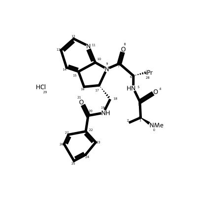 CN[C@@H](C)C(=O)N[C@H](C(=O)N1c2ncccc2C[C@H]1CNC(=O)c1ccccc1)C(C)C.Cl